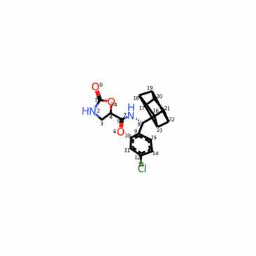 O=C1NCC(C(=O)N[C@@H](c2ccc(Cl)cc2)C23C4C5C6C4C2C6C53)O1